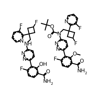 COc1c(C(N)=O)ccc(F)c1-c1ccc(N(CC2(c3ncccc3F)CC(F)C2)C(=O)OC(C)(C)C)nn1.NC(=O)c1ccc(F)c(-c2ccc(NCC3(c4ncccc4F)CC(F)C3)nn2)c1O